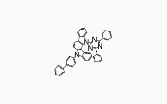 C1=CCCC(c2nc(-c3ccccc3)nc(-n3c4ccccc4c4ccc5c(c6ccccc6n5-c5ccc(-c6ccccc6)cc5)c43)n2)=C1